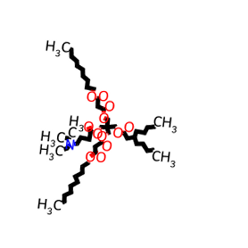 CCCCCCCCCCOC(=O)CC(=O)OCC(COC(=O)CCCN(CC)C(C)C)(COC(=O)CC(=O)OCCCCCCCCCC)COC(=O)CC(CCCCC)CCCCC